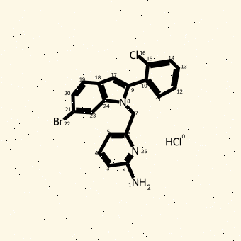 Cl.Nc1cccc(Cn2c(-c3ccccc3Cl)cc3ccc(Br)cc32)n1